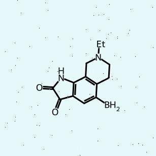 Bc1cc2c(c3c1CCN(CC)C3)NC(=O)C2=O